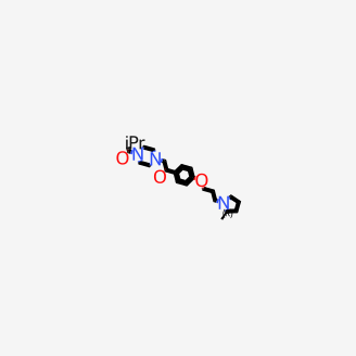 CC(C)C(=O)N1CCN(CC(=O)c2ccc(OCCCN3CCC[C@H]3C)cc2)CC1